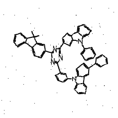 CC1(C)c2ccccc2-c2ccc(-c3nc(-c4cccc(-n5c6ccccc6c6cc(-c7ccccc7)ccc65)c4)nc(-c4ccc5c6ccccc6n(-c6ccccc6)c5c4)n3)cc21